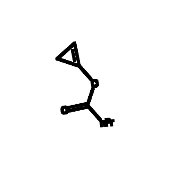 CCCC(=O)OC1=CC1